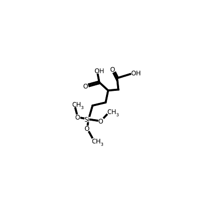 CO[Si](CCC(CC(=O)O)C(=O)O)(OC)OC